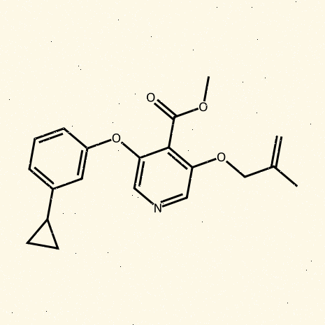 C=C(C)COc1cncc(Oc2cccc(C3CC3)c2)c1C(=O)OC